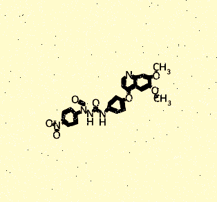 COc1cc2nccc(Oc3ccc(NC(=O)NN(C=O)c4ccc([N+](=O)[O-])cc4)cc3)c2cc1OC